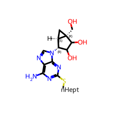 CCCCCCCSc1nc(N)c2ncn([C@H]3C(O)C(O)[C@]4(CO)C[C@H]34)c2n1